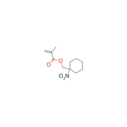 C=C(C)C(=O)OCC1([N+](=O)[O-])CCCCC1